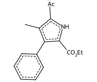 CCOC(=O)c1[nH]c(C(C)=O)c(C)c1-c1ccccc1